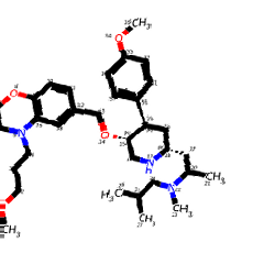 COCCCN1CCOc2ccc(CO[C@H]3CN[C@@H](CC(C)N(C)CC(C)C)C[C@@H]3c3ccc(OC)cc3)cc21